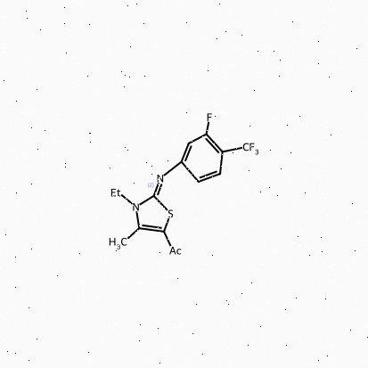 CCn1c(C)c(C(C)=O)s/c1=N\c1ccc(C(F)(F)F)c(F)c1